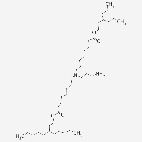 CCCCCC(CCCCC)CCOC(=O)CCCCCCCN(CCCN)CCCCCCCC(=O)OCCC(CCC)CCC